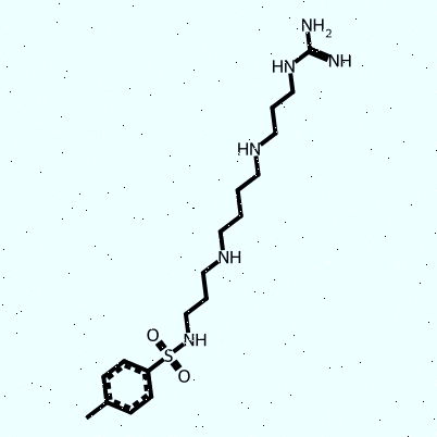 Cc1ccc(S(=O)(=O)NCCCNCCCCNCCCNC(=N)N)cc1